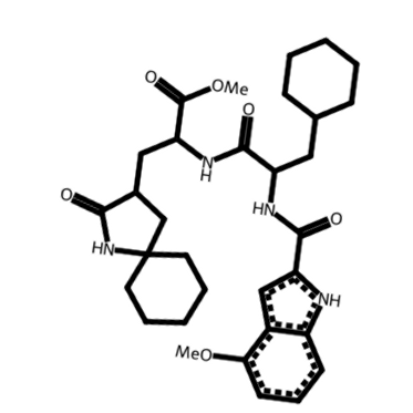 COC(=O)C(CC1CC2(CCCCC2)NC1=O)NC(=O)C(CC1CCCCC1)NC(=O)c1cc2c(OC)cccc2[nH]1